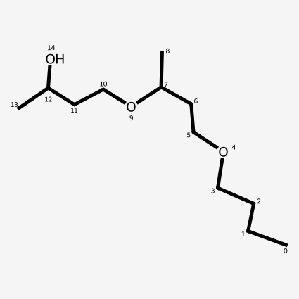 CCCCOCCC(C)OCCC(C)O